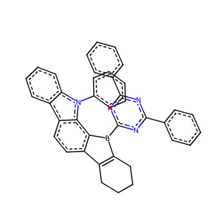 c1ccc(-c2nc(B3C4=C(CCCC4)c4ccc5c6ccccc6n(-c6ccccc6)c5c43)nc(-c3ccccc3)n2)cc1